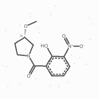 CO[C@H]1CCN(C(=O)c2cccc([N+](=O)[O-])c2O)C1